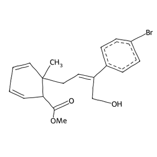 COC(=O)C1C=CC=CC1(C)C/C=C(\CO)c1ccc(Br)cc1